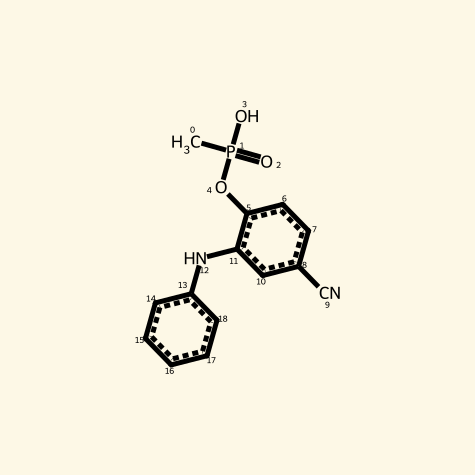 CP(=O)(O)Oc1ccc(C#N)cc1Nc1ccccc1